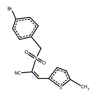 Cc1ccc(/C=C(/C#N)S(=O)(=O)Cc2ccc(Br)cc2)s1